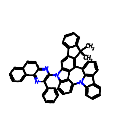 CC1(C)c2ccccc2-c2cc3c4c(c21)c1cccc2c5ccccc5n(c5cccc(c45)n3-c3nc4ccc5ccccc5c4nc3-c3ccccc3)c21